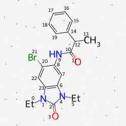 CCn1c(=O)n(CC)c2cc(NC(=O)C(C)c3ccccc3)c(Br)cc21